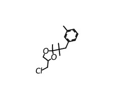 Cc1cccc(CC(C)(C)C2(C)OCC(CCl)O2)c1